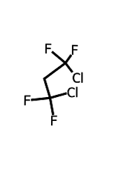 FC(F)(Cl)CC(F)(F)Cl